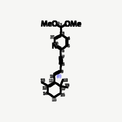 COC(OC)c1ccc(C#C/C=C/C2=C(C)CCCC2(C)C)nc1